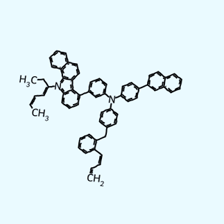 C=C/C=C\c1ccccc1Cc1ccc(N(c2ccc(-c3ccc4ccccc4c3)cc2)c2cccc(-c3cccc4c3c3ccc5ccccc5c3n4/C(=C/C=C\C)CC)c2)cc1